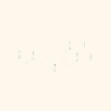 CCc1cccc(C=CC(=O)OCc2ccccc2)c1C(=O)O